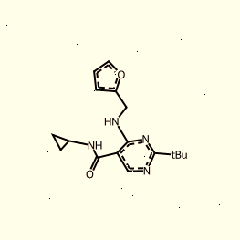 CC(C)(C)c1ncc(C(=O)NC2CC2)c(NCc2ccco2)n1